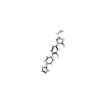 O=C1O[C@@H](CO)CN1c1ccc(N2C=NN(c3nccs3)CC2)c(F)c1